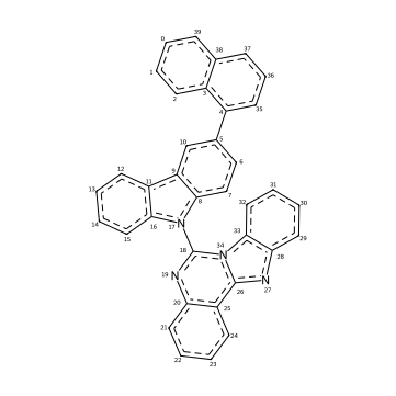 c1ccc2c(-c3ccc4c(c3)c3ccccc3n4-c3nc4ccccc4c4nc5ccccc5n34)cccc2c1